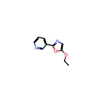 CCOc1cnc(-c2cccnc2)o1